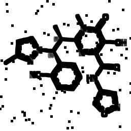 Cc1ccn([C@H](c2ccccc2C#N)[C@@H](C)c2nc(C(=O)Nc3cnoc3)c(O)c(=O)n2C)n1